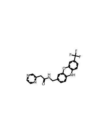 O=C(Cc1cnccn1)NCc1ccc2c(c1)Oc1cc(C(F)(F)F)ccc1N2